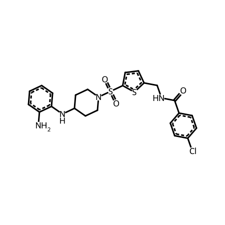 Nc1ccccc1NC1CCN(S(=O)(=O)c2ccc(CNC(=O)c3ccc(Cl)cc3)s2)CC1